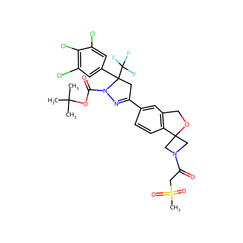 CC(C)(C)OC(=O)N1N=C(c2ccc3c(c2)COC32CN(C(=O)CS(C)(=O)=O)C2)CC1(c1cc(Cl)c(Cl)c(Cl)c1)C(F)(F)F